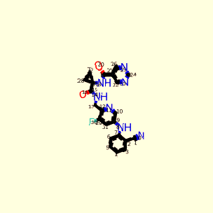 N#Cc1ccccc1Nc1cnc(CNC(=O)C2(NC(=O)c3cncnc3)CC2)c(F)c1